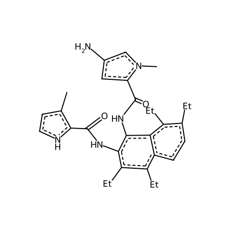 CCc1ccc2c(CC)c(CC)c(NC(=O)c3[nH]ccc3C)c(NC(=O)c3cc(N)cn3C)c2c1CC